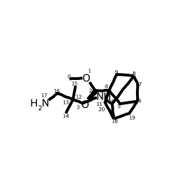 COC(=O)C12CC3CC(C1)C(NCC(C)(C)CN)C(C3)C2